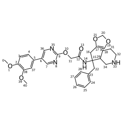 COc1ccc(-c2cnc(OCC(=O)NC(CC3=COCO3)(Cc3ccccc3)C3CCCNC3)nc2)cc1OC